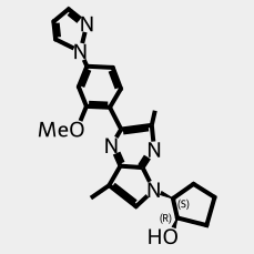 COc1cc(-n2cccn2)ccc1-c1nc2c(C)cn([C@H]3CCC[C@H]3O)c2nc1C